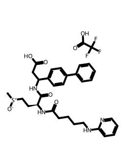 C[S+]([O-])CC[C@H](NC(=O)CCCCNc1ccccn1)C(=O)NC(CC(=O)O)c1ccc(-c2ccccc2)cc1.O=C(O)C(F)(F)F